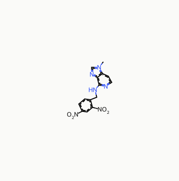 Cn1cnc2c(NCc3ccc([N+](=O)[O-])cc3[N+](=O)[O-])nccc21